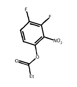 CCC(=O)Oc1ccc(F)c(F)c1[N+](=O)[O-]